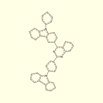 c1ccc(-n2c3ccccc3c3cc(-c4nc(-c5ccc(-n6c7ccccc7c7ccccc76)cc5)nc5ccccc45)ccc32)cc1